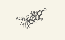 CC(=O)OCC(=O)[C@@]1(OC(C)=O)[C@@H](C)C[C@H]2[C@@H]3C[C@H](F)C4=CC(=O)C=C[C@]4(C)[C@@]3(Cl)C(O)C[C@@]21C